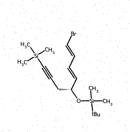 CC(C)(C)[Si](C)(C)O[C@@H](C=CC=CBr)CC#C[Si](C)(C)C